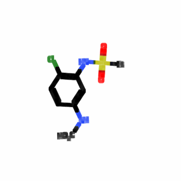 CCS(=O)(=O)Nc1cc(NC(=O)O)ccc1Cl